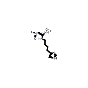 CN/C(=C/[N+](=O)[O-])NCCCCc1c[nH]cn1